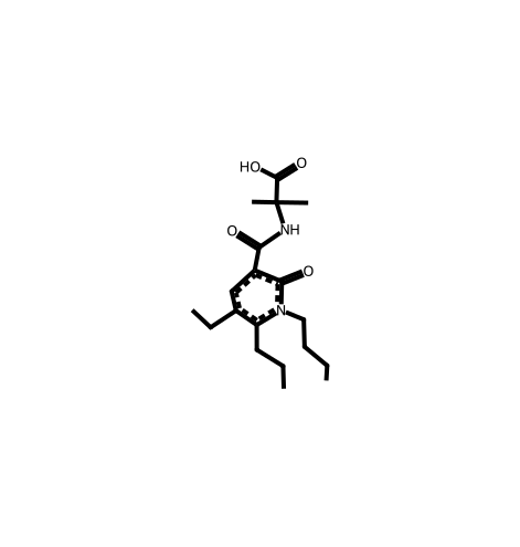 CCCCn1c(CCC)c(CC)cc(C(=O)NC(C)(C)C(=O)O)c1=O